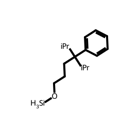 CC(C)C(CCCO[SiH3])(c1ccccc1)C(C)C